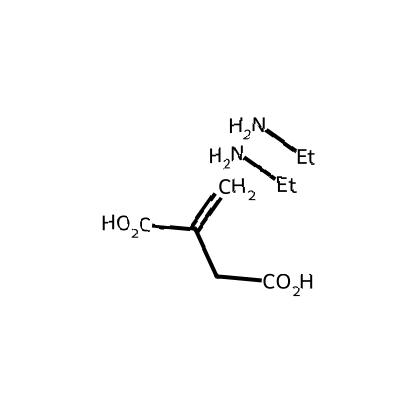 C=C(CC(=O)O)C(=O)O.CCN.CCN